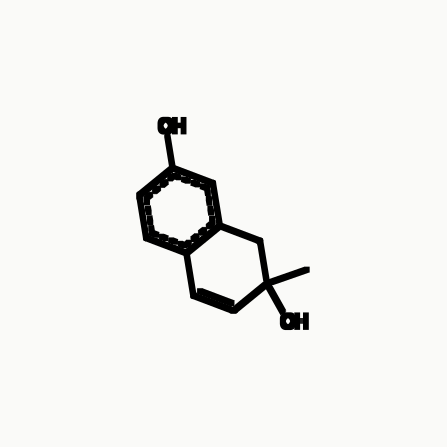 CC1(O)C=Cc2ccc(O)cc2C1